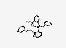 Nc1nc(-c2cccnc2CCc2ccccc2)c(Cc2ccccc2)c2ncccc12